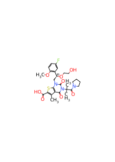 COc1ccc(F)cc1[C@H](Cn1c(=O)n(C(C)(C)C(=O)N2CCCC2)c(=O)c2c(C)c(C(=O)O)sc21)OCCO